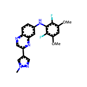 COc1cc(OC)c(F)c(Nc2ccc3ncc(-c4cnn(C)c4)nc3c2)c1F